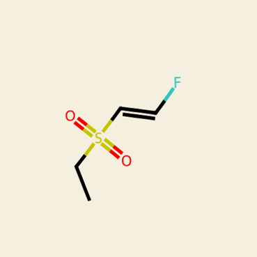 CCS(=O)(=O)/C=C/F